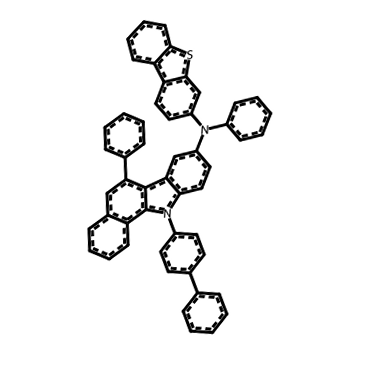 c1ccc(-c2ccc(-n3c4ccc(N(c5ccccc5)c5ccc6c(c5)sc5ccccc56)cc4c4c(-c5ccccc5)cc5ccccc5c43)cc2)cc1